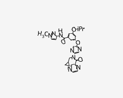 CC(C)Oc1cc(Oc2cnc(N(CC3CC3)C(=O)c3cnccn3)cn2)cc(C(=O)Nc2ccn(C)n2)c1